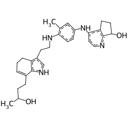 Cc1cc(Nc2ccnc3c2CCC3O)ccc1NCCc1c[nH]c2c1CCC=C2CCC(C)O